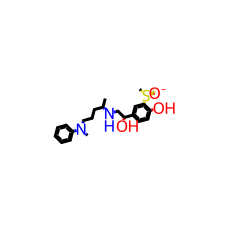 CC(CCCN(C)c1ccccc1)NCC(O)c1ccc(O)c([S+](C)[O-])c1